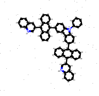 c1ccc(-n2c3ccc(-c4c5ccccc5c(-c5cnc6ccccc6c5)c5ccccc45)cc3c3cc(-c4c5ccccc5c(-c5cnc6ccccc6c5)c5ccccc45)ccc32)cc1